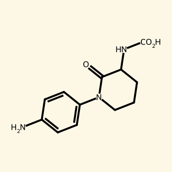 Nc1ccc(N2CCCC(NC(=O)O)C2=O)cc1